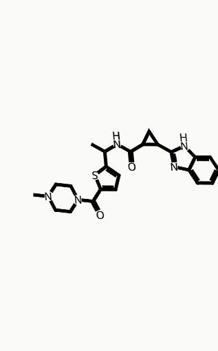 CC(NC(=O)C1CC1c1nc2ccccc2[nH]1)c1ccc(C(=O)N2CCN(C)CC2)s1